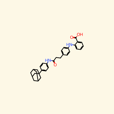 O=C(CCc1ccc(Nc2ccccc2C(=O)O)cc1)Nc1ccc(C23CC4CC(CC(C4)C2)C3)cc1